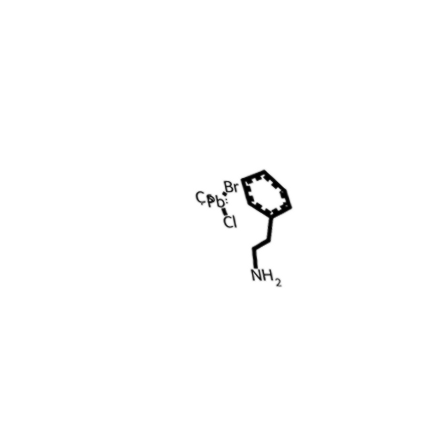 NCCc1ccccc1.[Cl][Pb][Br].[Cs]